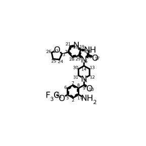 Nc1cc(OC(F)(F)F)ccc1C(=O)N1CCC(n2c(=O)[nH]c3ncc([C@H]4CCCO4)cc32)CC1